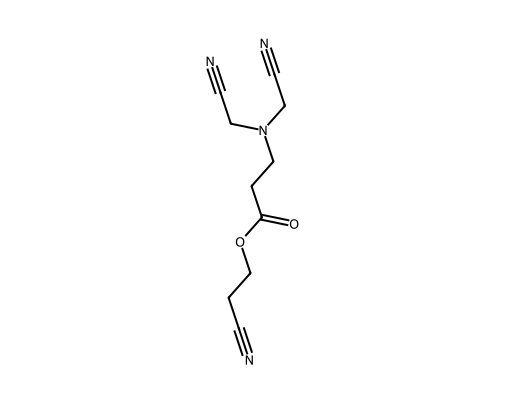 N#CCCOC(=O)CCN(CC#N)CC#N